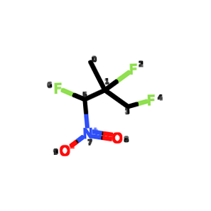 CC(F)(CF)C(F)[N+](=O)[O-]